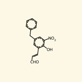 O=C/C=C/c1cc(Cc2ccccc2)cc([N+](=O)[O-])c1O